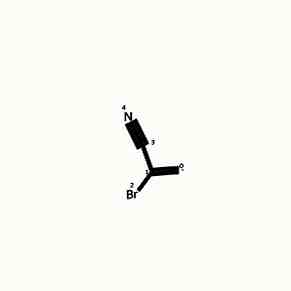 [CH]=C(Br)C#N